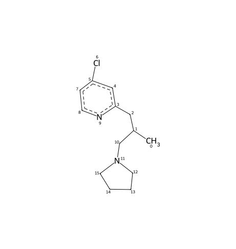 CC(Cc1cc(Cl)ccn1)CN1CCCC1